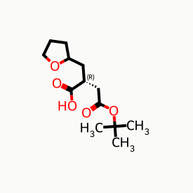 CC(C)(C)OC(=O)C[C@@H](CC1CCCO1)C(=O)O